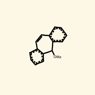 COC1c2ccccc2C=Cc2ccccc21